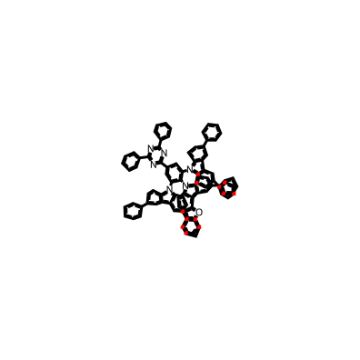 c1ccc(-c2ccc3c(c2)c2cc(-c4ccccc4)ccc2n3-c2cc(-c3nc(-c4ccccc4)nc(-c4ccccc4)n3)cc(-n3c4ccc(-c5ccccc5)cc4c4cc(-c5ccccc5)ccc43)c2-n2c3ccc(-c4ccccc4)cc3c3c4oc5ccccc5c4ccc32)cc1